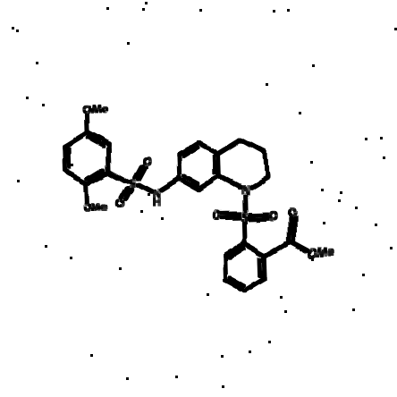 COC(=O)c1ccccc1S(=O)(=O)N1CCCc2ccc(NS(=O)(=O)c3cc(OC)ccc3OC)cc21